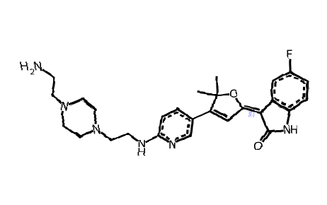 CC1(C)O/C(=C2/C(=O)Nc3ccc(F)cc32)C=C1c1ccc(NCCN2CCN(CCN)CC2)nc1